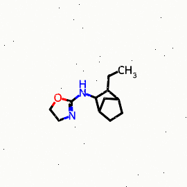 CCC1C2CCC(C2)C1NC1=NCCO1